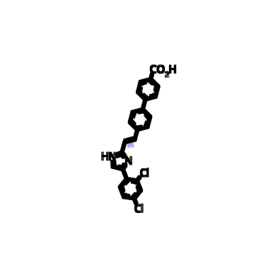 O=C(O)c1ccc(-c2ccc(/C=C/c3nc(-c4ccc(Cl)cc4Cl)c[nH]3)cc2)cc1